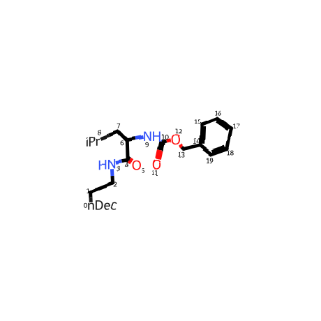 CCCCCCCCCCCCNC(=O)C(CC(C)C)NC(=O)OCc1ccccc1